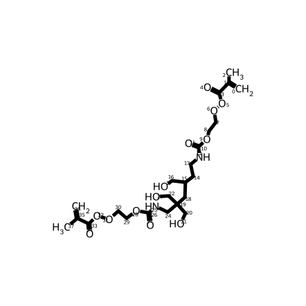 C=C(C)C(=O)OOCCOC(=O)NCCC(CO)CC(CO)(CO)CNC(=O)OCCOOC(=O)C(=C)C